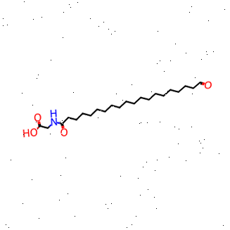 O=CCCCCCCCCCCCCCCCCCCC(=O)NCC(=O)O